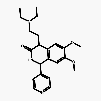 CCN(CC)CCC1C(=O)NC(c2ccncc2)c2cc(OC)c(OC)cc21